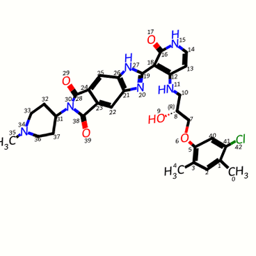 Cc1cc(C)c(OC[C@H](O)CNc2cc[nH]c(=O)c2-c2nc3cc4c(cc3[nH]2)C(=O)N(C2CCN(C)CC2)C4=O)cc1Cl